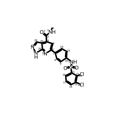 CNC(=O)c1cc(-c2ccc(NS(=O)(=O)c3cccc(Cl)c3Cl)cc2)nc2[nH]ncc12